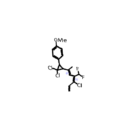 C=C/C(Cl)=C(\C=C(/C)C1C(c2ccc(OC)cc2)C1(Cl)Cl)C(F)F